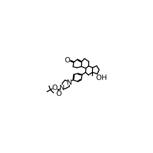 CC(C)(C)OC(=O)N1CCN(c2ccc(C3CC4(C)C(O)CCC4C4CCC5=CC(=O)CCC5C34)cc2)CC1